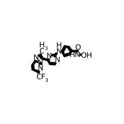 Cc1nc2ccc(C(F)(F)F)nn2c1-c1ccnc(Nc2ccc(C(=O)NO)cc2)n1